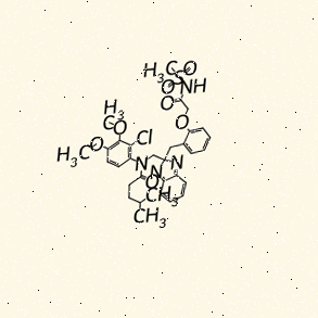 COc1ccc(N(CC2(Cc3ccccc3OCC(=O)NS(C)(=O)=O)N=c3ccccc3=N2)C(=O)CCC(C)C)c(Cl)c1OC